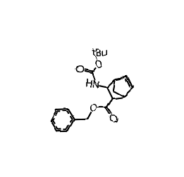 CC(C)(C)OC(=O)NC1C2C=CC(C2)C1C(=O)OCc1ccccc1